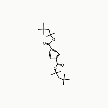 CC(C)(C)CC(C)(C)OC(=O)c1ccc(C(=O)OC(C)(C)CC(C)(C)C)cc1